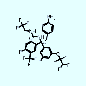 Bc1ccc(C[C@](NC(=O)NCC(F)(F)F)(c2cc(F)cc(OC(F)(F)C(F)F)c2)c2ccc(F)c(C(F)(F)F)c2)cc1